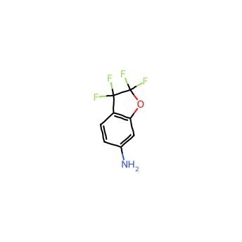 Nc1ccc2c(c1)OC(F)(F)C2(F)F